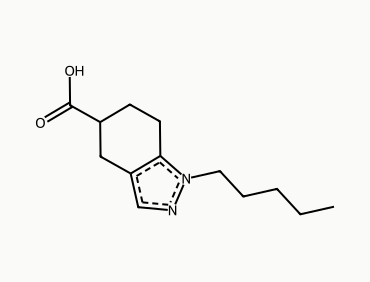 CCCCCn1ncc2c1CCC(C(=O)O)C2